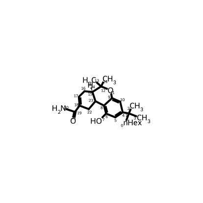 CCCCCCC(C)(C)c1cc(O)c2c(c1)OC(C)(C)[C@@H]1CC=C(C(N)=O)CC21